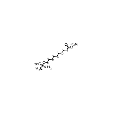 CC(C)(C)OC(=O)CCOCCCCCCO[Si](C)(C)C(C)(C)C